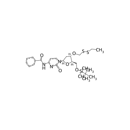 CCSSCO[C@H]1C[C@H](n2ccc(NC(=O)c3ccccc3)nc2=O)O[C@@H]1CO[Si](C)(C)C(C)(C)C